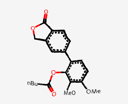 CCCCC(=O)Oc1c(-c2ccc3c(c2)COC3=O)ccc(OC)c1OC